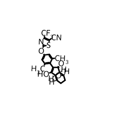 Cc1cc(Oc2nc(C(F)(F)F)c(C#N)s2)cc(C)c1C1=C(O)[C@H]2[C@@H](C1=O)[C@@H]1CC[C@H]2O1